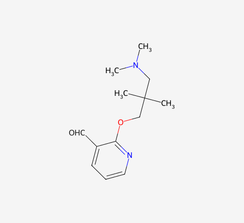 CN(C)CC(C)(C)COc1ncccc1C=O